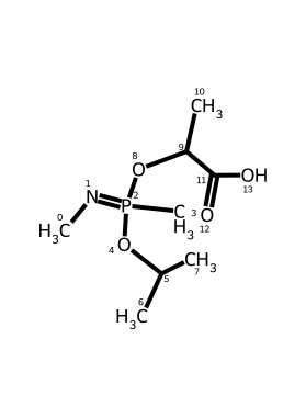 CN=P(C)(OC(C)C)OC(C)C(=O)O